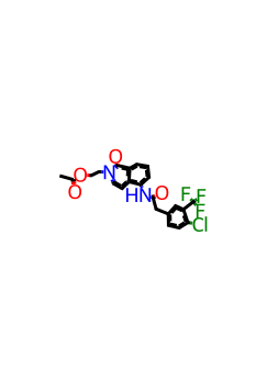 CC(=O)OCCn1ccc2c(NC(=O)Cc3ccc(Cl)c(C(F)(F)F)c3)cccc2c1=O